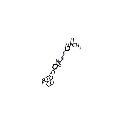 CNc1ccc(/C=C/C=C/c2nc3ccc(OCC(COSI)OC4CCCCO4)cc3s2)cn1